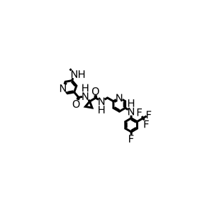 CNc1cncc(C(=O)NC2(C(=O)NCc3ccc(Nc4ccc(F)cc4C(F)(F)F)cn3)CC2)c1